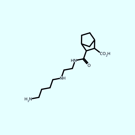 NCCCCNCCNC(=O)C1C2CCC(C2)C1C(=O)O